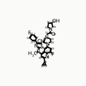 CN(c1nc(-c2ccc(F)cc2)c(C#N)s1)c1cc(C2CC2)nc2c(F)cc(N3CCN(CC(=O)N4CC[C@H](O)C4)CC3)cc12